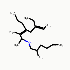 C/C=C(\CC)C/C(CCC)=C(/C)C(C)NCC(C)CCCC